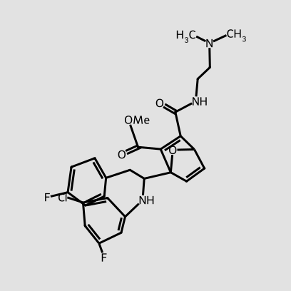 COC(=O)C1=C(C(=O)NCCN(C)C)C2C=CC1(C(Cc1ccc(F)cc1)Nc1cc(F)cc(Cl)c1)O2